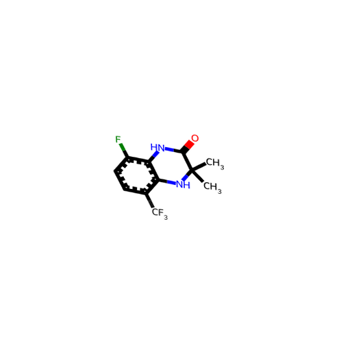 CC1(C)Nc2c(C(F)(F)F)ccc(F)c2NC1=O